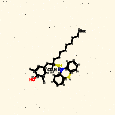 CCCCCCCCCCCCCCCCCCC(S)(Cc1cc(C)c(O)c(C)c1)C(=O)O.c1ccc2c(c1)Nc1ccccc1S2